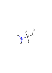 [CH2]CC(C)(C)N(C)C